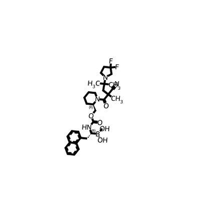 CC(C#N)(CC(C)(C)N1CCC(F)(F)C1)C(=O)N1CCCC[C@@H]1COC(=O)N[C@@H](Cc1cccc2ccccc12)B(O)O